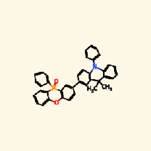 CC1(C)c2ccccc2N(c2ccccc2)c2ccc(-c3ccc4c(c3)P(=O)(c3ccccc3)c3ccccc3O4)cc21